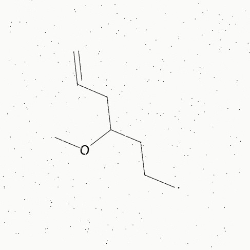 [CH2]CCC(CC=C)OC